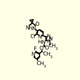 Cc1cnc(F)c([C@@H](C)OC(=O)Nc2c(-c3ccc(NC(=O)C4(C#N)CC4)c(Cl)n3)nnn2C)c1